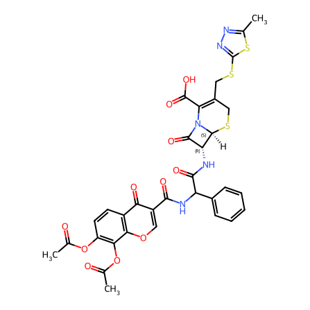 CC(=O)Oc1ccc2c(=O)c(C(=O)NC(C(=O)N[C@@H]3C(=O)N4C(C(=O)O)=C(CSc5nnc(C)s5)CS[C@@H]34)c3ccccc3)coc2c1OC(C)=O